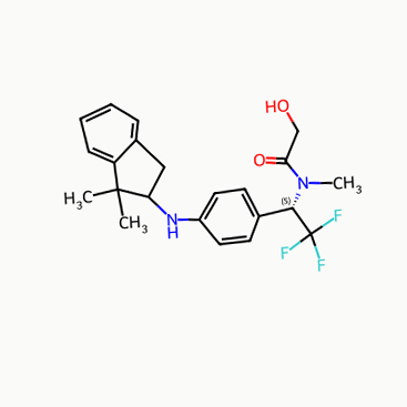 CN(C(=O)CO)[C@@H](c1ccc(NC2Cc3ccccc3C2(C)C)cc1)C(F)(F)F